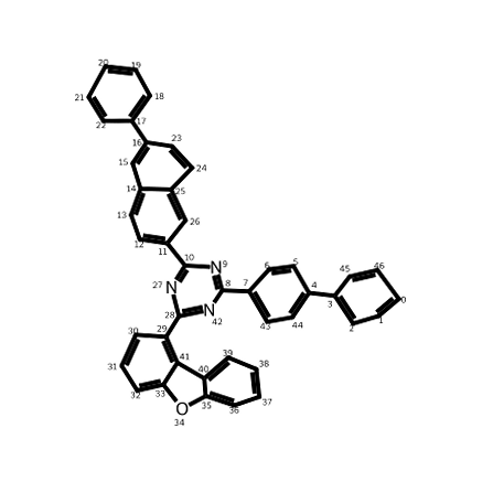 c1ccc(-c2ccc(-c3nc(-c4ccc5cc(-c6ccccc6)ccc5c4)nc(-c4cccc5oc6ccccc6c45)n3)cc2)cc1